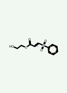 O=C(/C=C/S(=O)(=O)c1ccccc1)OCCO